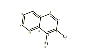 C[CH]c1c(C)ccc2ccccc12